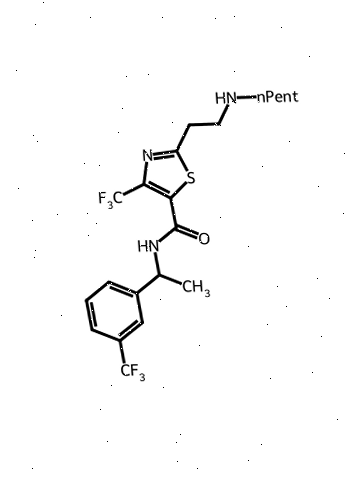 CCCCCNCCc1nc(C(F)(F)F)c(C(=O)NC(C)c2cccc(C(F)(F)F)c2)s1